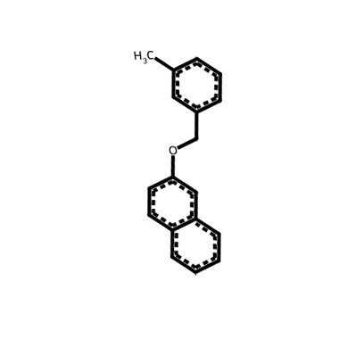 Cc1cccc(COc2ccc3c[c]ccc3c2)c1